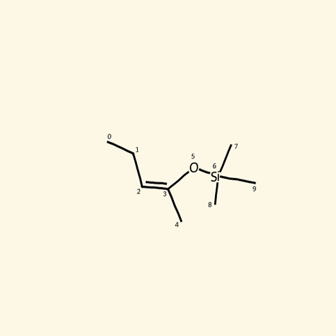 CCC=C(C)O[Si](C)(C)C